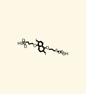 O=S(=O)(O)CCCOc1c(I)ccc2c(OCCCSOOO)c(I)ccc12